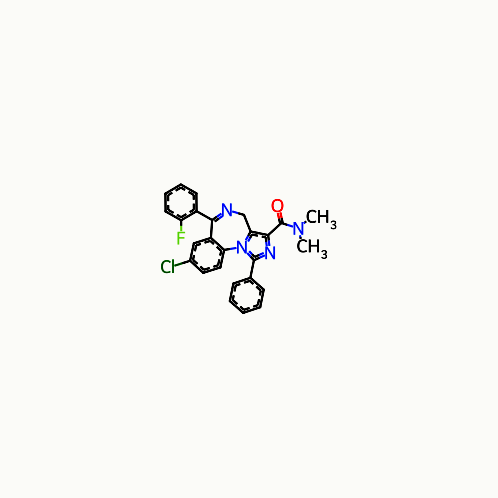 CN(C)C(=O)c1nc(-c2ccccc2)n2c1CN=C(c1ccccc1F)c1cc(Cl)ccc1-2